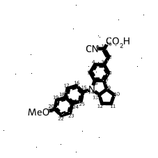 [C-]#[N+]/C(=C\c1ccc2c(c1)C1CCCC1N2c1ccc2cc(OC)ccc2c1)C(=O)O